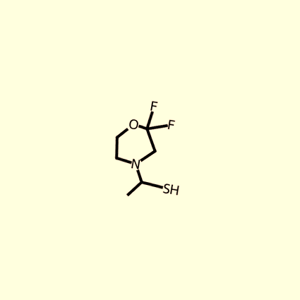 CC(S)N1CCOC(F)(F)C1